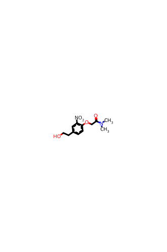 CN(C)C(=O)COc1ccc(CCO)cc1[N+](=O)[O-]